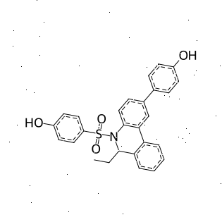 CCC1c2ccccc2-c2cc(-c3ccc(O)cc3)ccc2N1S(=O)(=O)c1ccc(O)cc1